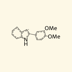 COc1ccc(-c2[c]c3ccccc3[nH]2)cc1OC